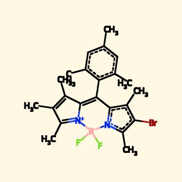 CC1=C(C)C(C)=[N+]2C1=C(c1c(C)cc(C)cc1C)c1c(C)c(Br)c(C)n1[B-]2(F)F